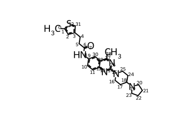 Cc1cc(CCC(=O)Nc2ccc3nc(N4CCC(N5CCCC5)CC4)nc(C)c3c2)cs1